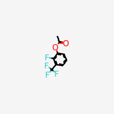 CC(=O)Oc1cccc(C(F)(F)F)c1F